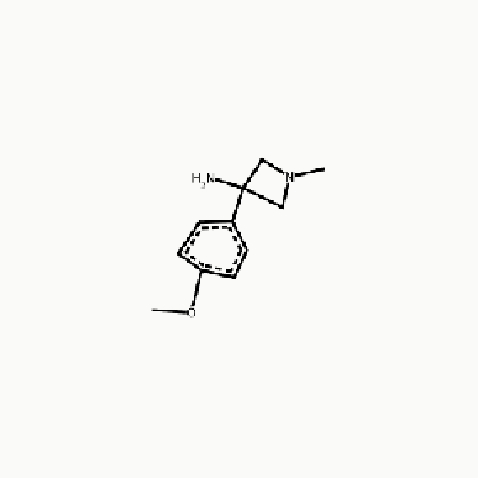 COc1ccc(C2(N)CN(C)C2)cc1